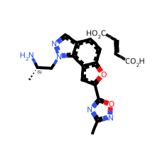 Cc1noc(-c2cc3c(ccc4cnn(C[C@H](C)N)c43)o2)n1.O=C(O)C=CC(=O)O